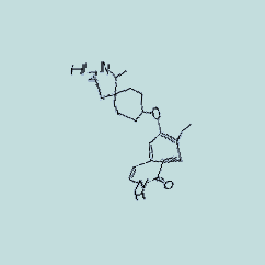 CCC1(C(C)N)CCC(Oc2cc3cc[nH]c(=O)c3cc2C)CC1